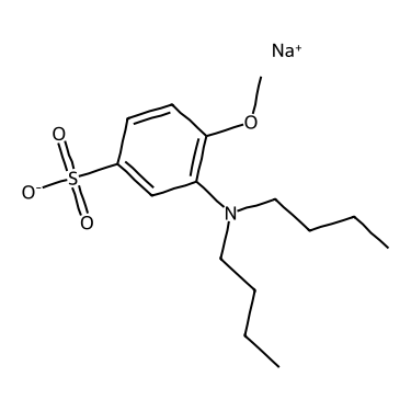 CCCCN(CCCC)c1cc(S(=O)(=O)[O-])ccc1OC.[Na+]